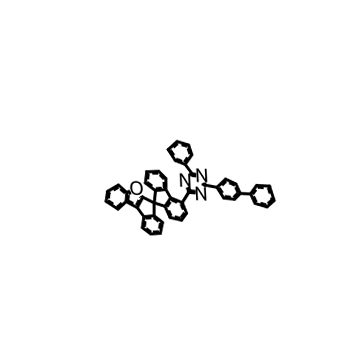 c1ccc(-c2ccc(-c3nc(-c4ccccc4)nc(-c4cccc5c4-c4ccccc4C54c5ccccc5-c5c4oc4ccccc54)n3)cc2)cc1